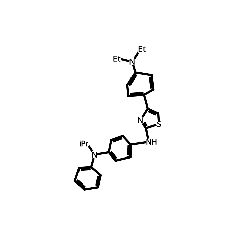 CCN(CC)c1ccc(-c2csc(Nc3ccc(N(c4ccccc4)C(C)C)cc3)n2)cc1